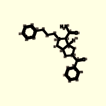 NC(=O)C1[C@@H]2CN(C(=O)c3ccccc3)CC2CN1CC[CH]c1ccccc1